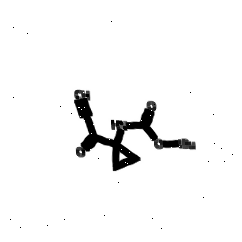 C#CC(=O)C1(NC(=O)OC(C)(C)C)CC1